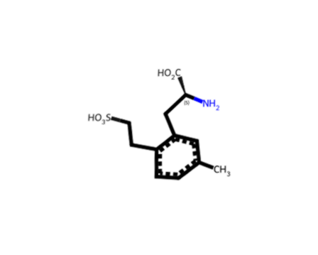 Cc1ccc(CCS(=O)(=O)O)c(C[C@H](N)C(=O)O)c1